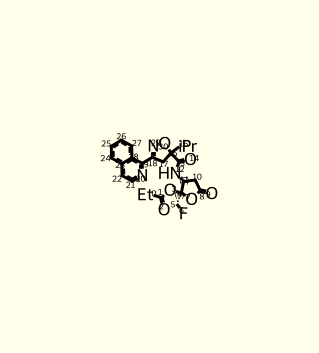 CCC(=O)O[C@]1(CF)OC(=O)C[C@@H]1NC(=O)C1(C(C)C)CC(c2nccc3ccccc23)=NO1